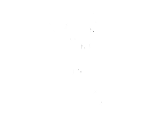 COc1ccc(NCCNC(=O)[C@H](Cc2ccccc2)N(C(C)=O)C2=CCCC2)cc1